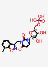 Cc1cccc2c(Cn3c(=O)ccn([C@@H]4O[C@H](COP(=O)(O)O)[C@H](O)[C@@H]4O)c3=O)noc12